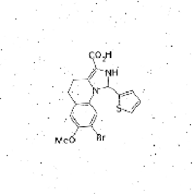 COc1cc2c(cc1Br)N1C(=C(C(=O)O)NC1c1cccs1)CC2